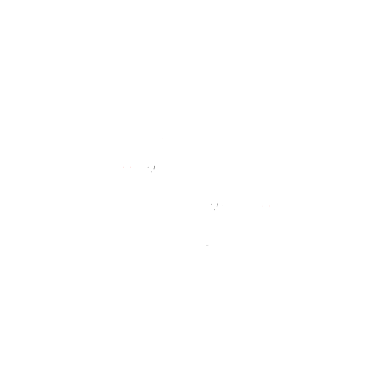 [K+].[O]=[Mn](=[O])(=[O])[O-].[O]=[Mn](=[O])(=[O])[OH]